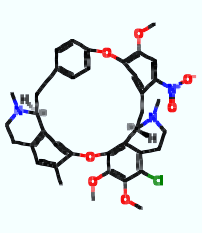 COc1cc([N+](=O)[O-])c2cc1Oc1ccc(cc1)C[C@H]1c3cc(c(C)cc3CCN1C)Oc1c(OC)c(OC)c(Cl)c3c1[C@H](C2)N(C)CC3